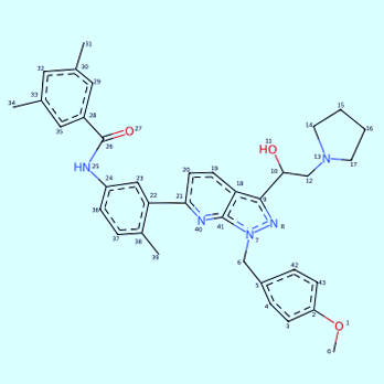 COc1ccc(Cn2nc(C(O)CN3CCCC3)c3ccc(-c4cc(NC(=O)c5cc(C)cc(C)c5)ccc4C)nc32)cc1